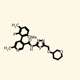 COc1ccc(C)c(F)c1-c1cc(C)ncc1C(=O)Nc1nnc(COC2CCCOC2)s1